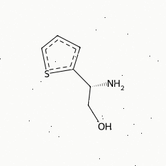 N[C@H](CO)c1cccs1